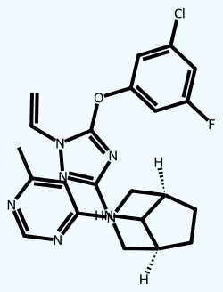 C=Cn1nc(NC2[C@@H]3CC[C@H]2CN(c2cc(C)ncn2)C3)nc1Oc1cc(F)cc(Cl)c1